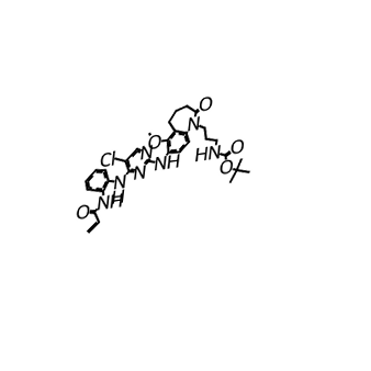 C=CC(=O)Nc1ccccc1Nc1nc(Nc2ccc3c(c2OC)CCCC(=O)N3CCCNC(=O)OC(C)(C)C)ncc1Cl